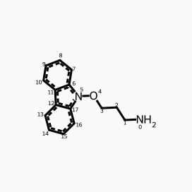 NCCCOn1c2ccccc2c2ccccc21